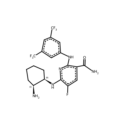 NC(=O)c1cc(F)c(N[C@@H]2CCCC[C@@H]2N)nc1Nc1cc(C(F)(F)F)cc(C(F)(F)F)c1